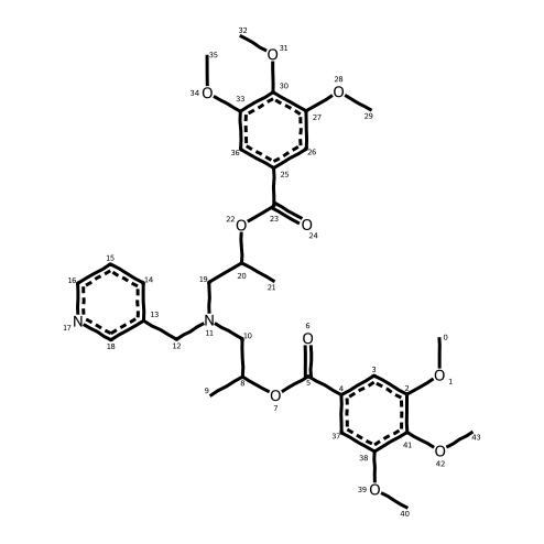 COc1cc(C(=O)OC(C)CN(Cc2cccnc2)CC(C)OC(=O)c2cc(OC)c(OC)c(OC)c2)cc(OC)c1OC